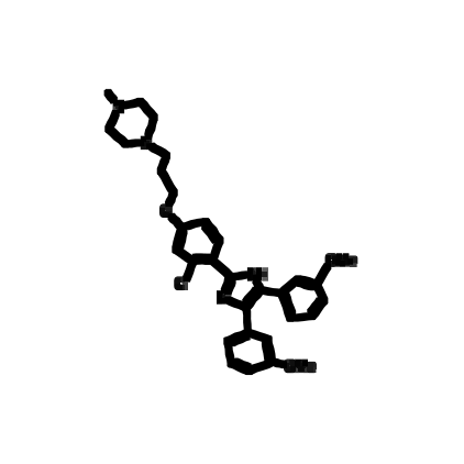 COc1cccc(-c2nc(-c3ccc(OCCCN4CCN(C)CC4)cc3Cl)[nH]c2-c2cccc(OC)c2)c1